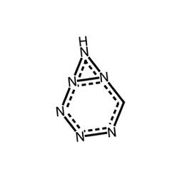 c1nnnn2[nH]n12